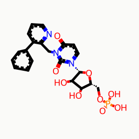 O=c1ccn([C@@H]2O[C@H](COP(=O)(O)O)C(O)C2O)c(=O)n1Cc1ncccc1-c1ccccc1